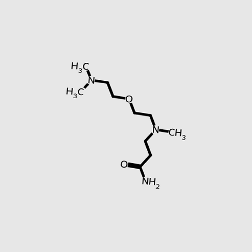 CN(C)CCOCCN(C)CCC(N)=O